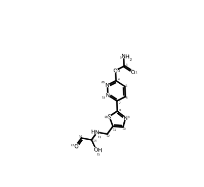 NC(=O)Oc1ccc(-c2ncc(CNC(O)C=O)s2)nn1